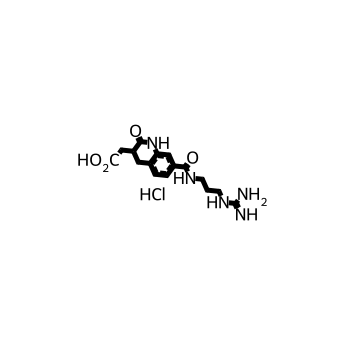 Cl.N=C(N)NCCCNC(=O)c1ccc2c(c1)NC(=O)C(CC(=O)O)C2